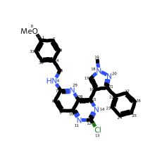 COc1ccc(CNc2ccc3nc(Cl)nc(-c4cn(C)nc4-c4ccccc4)c3n2)cc1